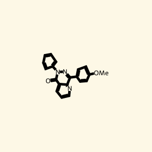 COc1ccc(-c2nn(-c3ccccc3)c(=O)c3cccnc23)cc1